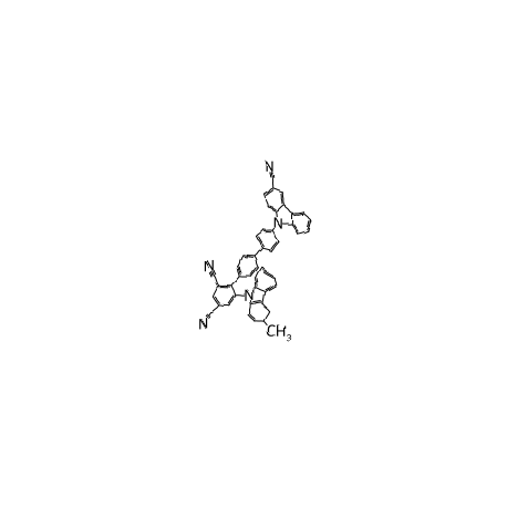 CC1C=Cc2c(c3ccccc3n2-c2cc(C#N)cc(C#N)c2-c2ccc(-c3ccc(-n4c5ccccc5c5cc(C#N)ccc54)cc3)cc2)C1